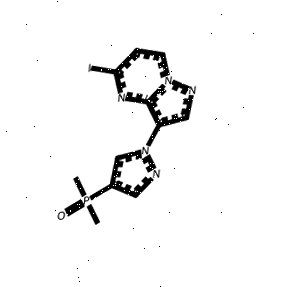 CP(C)(=O)c1cnn(-c2cnn3ccc(I)nc23)c1